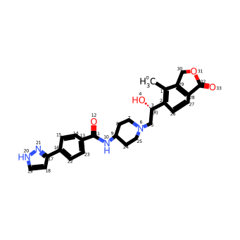 Cc1c([C@@H](O)CN2CCC(NC(=O)c3ccc(-c4cc[nH]n4)cc3)CC2)ccc2c1COC2=O